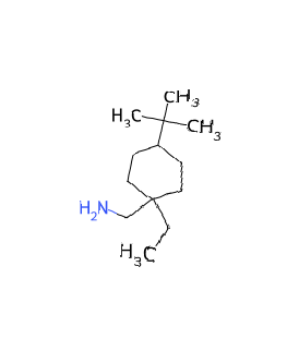 CCC1(CN)CCC(C(C)(C)C)CC1